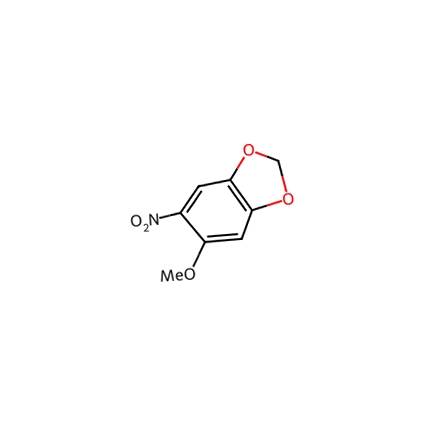 [CH2]Oc1cc2c(cc1[N+](=O)[O-])OCO2